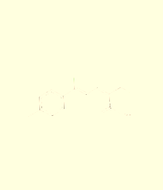 COC(=O)C(=CC=C(Cl)c1ccc(C)cc1)CCl